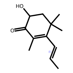 C/C=C/C1=C(C)C(=O)C(O)CC1(C)C